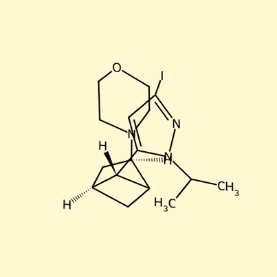 CC(C)n1nc(I)cc1[C@@H]1C2C[C@H]1C[C@H]2N1CCOCC1